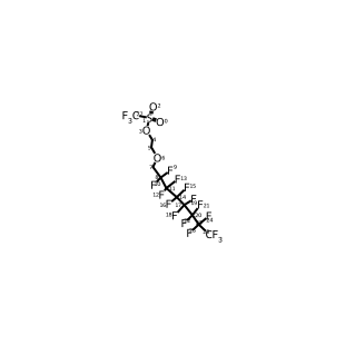 O=S(=O)(OCCOCC(F)(F)C(F)(F)C(F)(F)C(F)(F)C(F)(F)C(F)(F)C(F)(F)F)C(F)(F)F